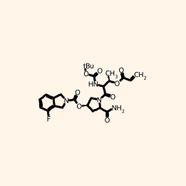 C=CC(=O)O[C@H](C)C(NC(=O)OC(C)(C)C)C(=O)N1C[C@H](OC(=O)N2Cc3cccc(F)c3C2)CC1C(N)=O